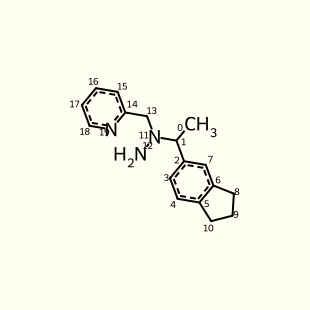 CC(c1ccc2c(c1)CCC2)N(N)Cc1ccccn1